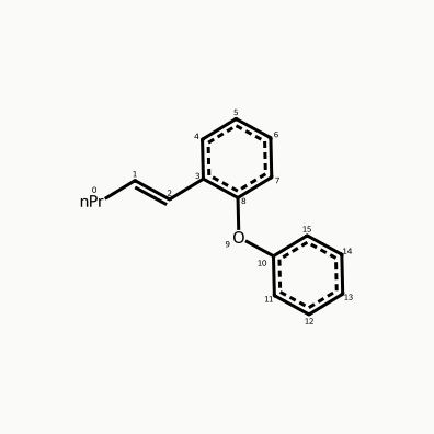 [CH2]CC/C=C/c1ccccc1Oc1ccccc1